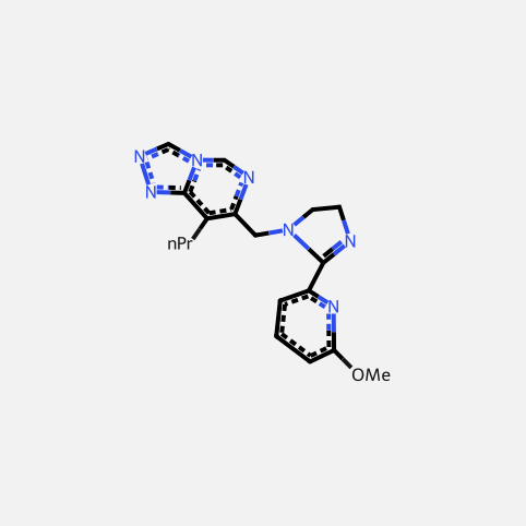 CCCc1c(CN2CCN=C2c2cccc(OC)n2)ncn2cnnc12